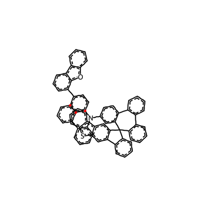 c1ccc(-c2ccccc2N(c2ccc(-c3cccc4c3oc3ccccc34)cc2)c2ccc3c(c2)C2(c4ccccc4-c4ccccc4-3)c3ccccc3-c3cc4sc5ccccc5c4cc32)cc1